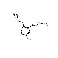 COCOc1cc(O)ccc1CCN